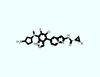 CN(c1c(F)c(Cl)c(-c2ccn3nc(NC(=O)[C@@H]4C[C@@H]4F)cc3c2)c2cn[nH]c12)C1CCC(N)C1